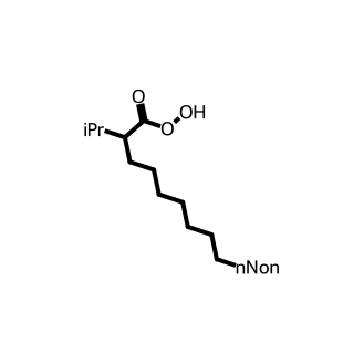 CCCCCCCCCCCCCCCCC(C(=O)OO)C(C)C